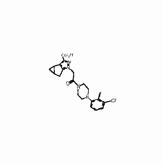 Cc1c(Cl)cccc1N1CCN(C(=O)Cn2nc(C(=O)O)c3c2CC2CC32)CC1